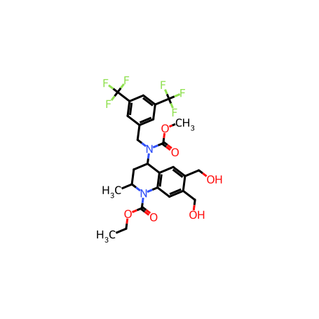 CCOC(=O)N1c2cc(CO)c(CO)cc2C(N(Cc2cc(C(F)(F)F)cc(C(F)(F)F)c2)C(=O)OC)CC1C